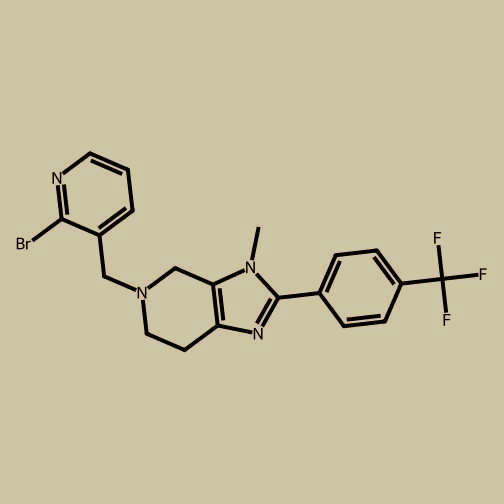 Cn1c(-c2ccc(C(F)(F)F)cc2)nc2c1CN(Cc1cccnc1Br)CC2